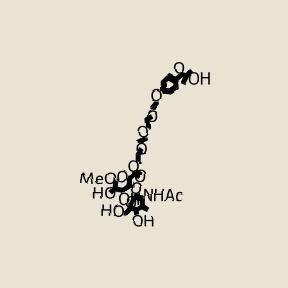 COC1OC(C(=O)OCCOCCOCCOCCOc2ccc(C(=O)C(C)(C)O)cc2)[C@@H](O[C@@H]2OC(CO)C(O)C(C)C2NC(C)=O)C(O)C1O